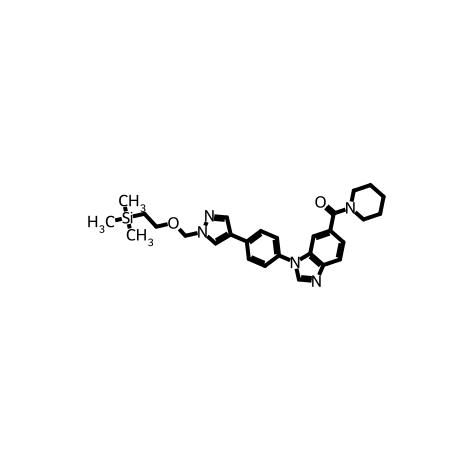 C[Si](C)(C)CCOCn1cc(-c2ccc(-n3cnc4ccc(C(=O)N5CCCCC5)cc43)cc2)cn1